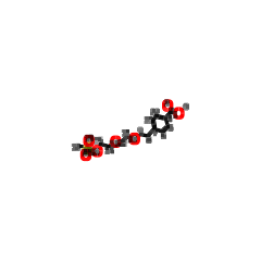 COC(=O)c1ccc(CCOCCOCCOS(C)(=O)=O)cc1